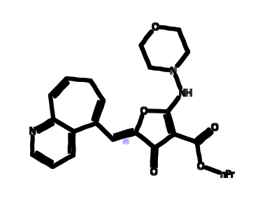 CCCOC(=O)C1=C(NN2CCOCC2)O/C(=C\C2=CCC=Cc3ncccc32)C1=O